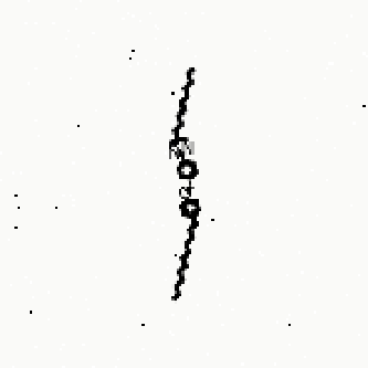 CCCCCCCCCCCCc1ccc(OC[C@H]2CC[C@H](c3ncc(CCCCCCCCCC)cn3)CC2)cc1